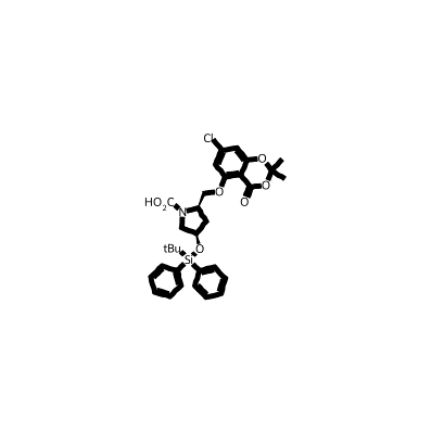 CC1(C)OC(=O)c2c(OC[C@H]3C[C@@H](O[Si](c4ccccc4)(c4ccccc4)C(C)(C)C)CN3C(=O)O)cc(Cl)cc2O1